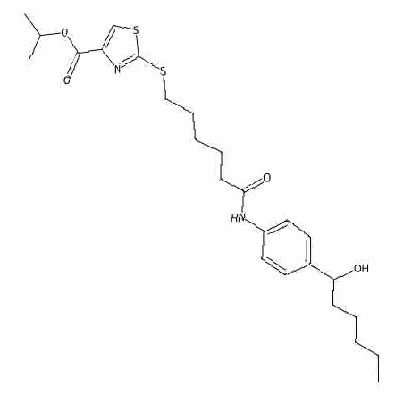 CCCCCC(O)c1ccc(NC(=O)CCCCCSc2nc(C(=O)OC(C)C)cs2)cc1